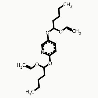 C=COC(CCCC)Oc1ccc(OC(CCCC)OC=C)nc1